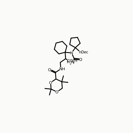 CCCCCCCCCCC1(N(C(N)=O)C2(C(CNC(=O)C3OC(C)(C)OCC3(C)C)C(=O)O)CCCCC2)CCCC1